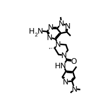 Cc1cc(N(C)C)ncc1NC(=O)N1CCN(c2nc(N)nc3c2c(C)nn3C)[C@@H](C)C1